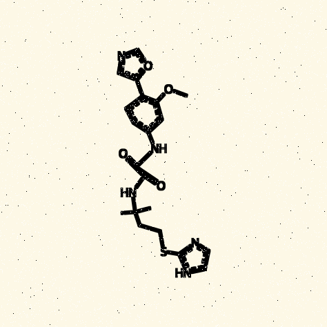 COc1cc(NC(=O)C(=O)NC(C)(C)CCSc2ncc[nH]2)ccc1-c1cnco1